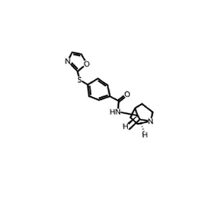 C[C@H]1[C@H](NC(=O)c2ccc(Sc3ncco3)cc2)C2CCN1CC2